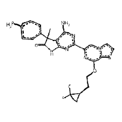 CC1(c2ccc(P)cc2)C(=O)Nc2nc(-c3cn4ccnc4c(OCCC4CC4(F)F)n3)nc(N)c21